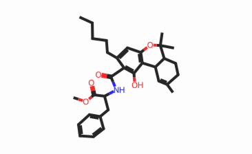 CCCCCc1cc2c(c(O)c1C(=O)NC(Cc1ccccc1)C(=O)OC)C1C=C(C)CCC1C(C)(C)O2